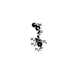 COc1cc(C)c(S(=O)(=O)N(C)CCOCC(=O)N2CCC(O)(c3cccs3)CC2)c(C)c1